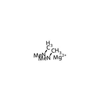 C[N-]C.C[N-]C.[Mg+2]